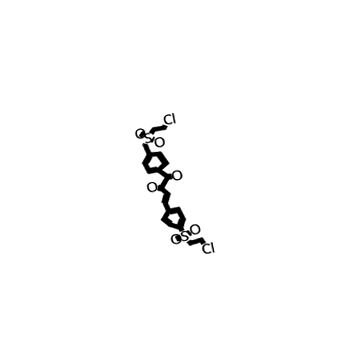 O=C(/C=C/c1ccc(S(=O)(=O)CCCl)cc1)C(=O)c1ccc(CS(=O)(=O)CCCl)cc1